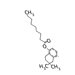 CCCCCCCCC(=O)Oc1cc[c]c2c1CCC(C)(C)C2